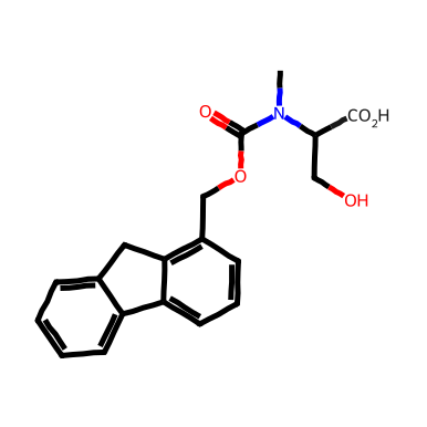 CN(C(=O)OCc1cccc2c1Cc1ccccc1-2)C(CO)C(=O)O